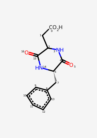 O=C(O)CC1NC(=O)[C@H](Cc2ccccc2)NC1=O